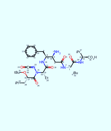 CC[C@H](C)[C@H](NC(=O)C[C@H](N)[C@H](Cc1ccccc1)NC(=O)[C@H](CC)N(N=C=O)C(=O)[C@H](CC(C)C)OC(C)(C)C)C(=O)N[C@H](C(=O)O)C(C)C